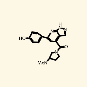 CNC1CCN(C(=O)c2cc(-c3ccc(O)cc3)nc3[nH]ncc23)C1